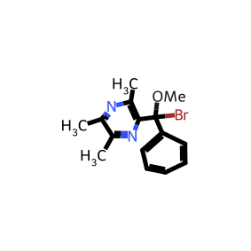 COC(Br)(c1ccccc1)c1nc(C)c(C)nc1C